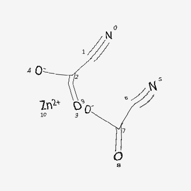 N#CC(=O)[O-].N#CC(=O)[O-].[Zn+2]